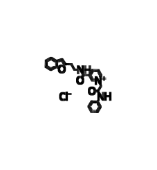 O=C(C[n+]1cccc(C(=O)NCCc2cc3ccccc3o2)c1)Nc1ccccc1.[Cl-]